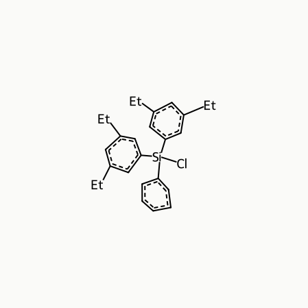 CCc1cc(CC)cc([Si](Cl)(c2ccccc2)c2cc(CC)cc(CC)c2)c1